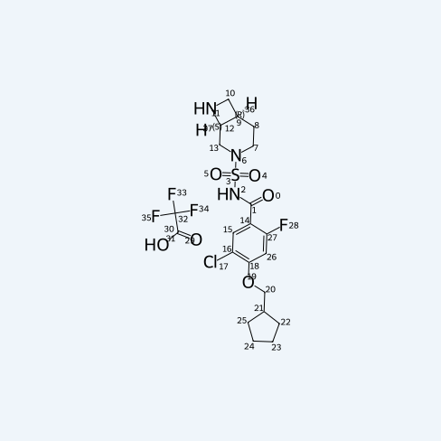 O=C(NS(=O)(=O)N1CC[C@@H]2CN[C@@H]2C1)c1cc(Cl)c(OCC2CCCC2)cc1F.O=C(O)C(F)(F)F